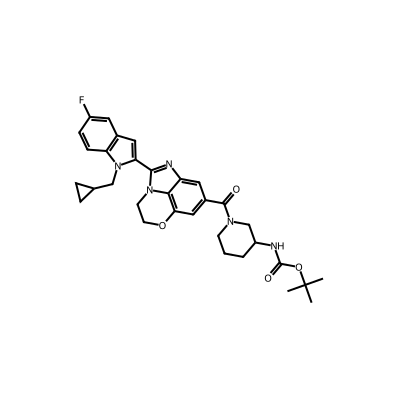 CC(C)(C)OC(=O)NC1CCCN(C(=O)c2cc3c4c(c2)nc(-c2cc5cc(F)ccc5n2CC2CC2)n4CCO3)C1